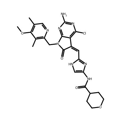 COc1c(C)cnc(CN2C(=O)C(=Cc3nc(NC(=O)C4CCOCC4)c[nH]3)c3c(Cl)nc(N)nc32)c1C